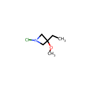 CCC1(OC)CN(Cl)C1